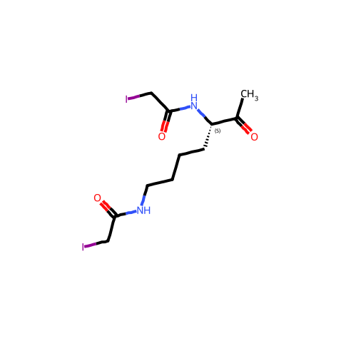 CC(=O)[C@H](CCCCNC(=O)CI)NC(=O)CI